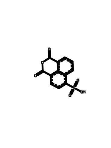 O=C1OC(=O)c2ccc(S(=O)(=O)O)c3cccc1c23